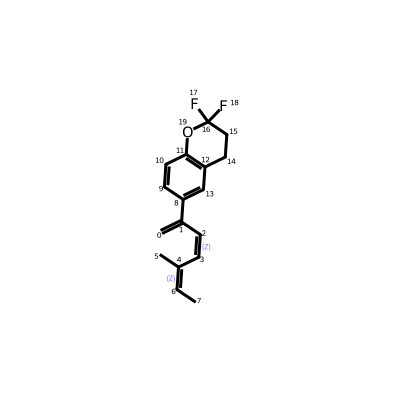 C=C(/C=C\C(C)=C/C)c1ccc2c(c1)CCC(F)(F)O2